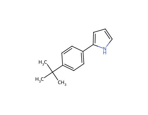 CC(C)(C)c1ccc(-c2ccc[nH]2)cc1